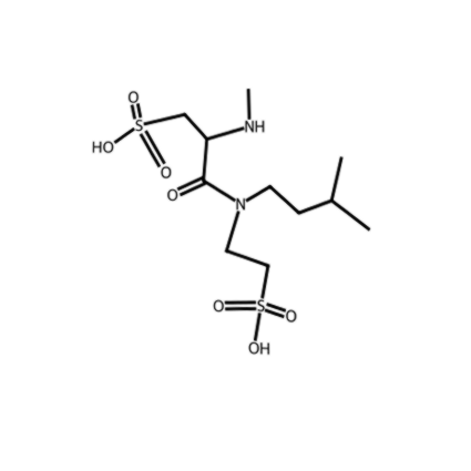 CNC(CS(=O)(=O)O)C(=O)N(CCC(C)C)CCS(=O)(=O)O